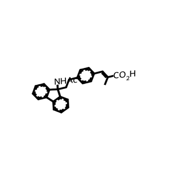 CC(=O)NC1(CCc2ccc(C=C(C)C(=O)O)cc2)c2ccccc2-c2ccccc21